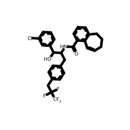 O=C(NC(Cc1ccc(CC(F)(F)C(F)(F)F)cc1)C(O)c1cccc(Cl)c1)c1cccc2c1C=CCCC2